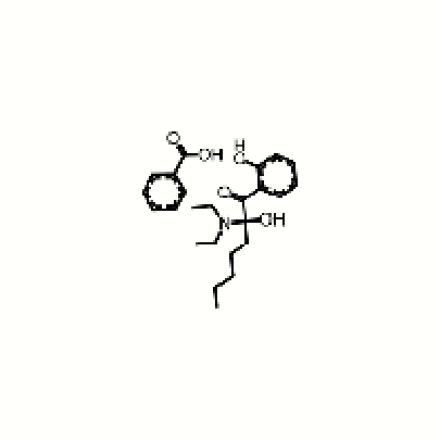 CCCCCC(O)(C(=O)c1ccccc1O)N(CC)CC.O=C(O)c1ccccc1